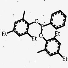 CCc1cc(C)c(OP(Oc2c(C)cc(CC)cc2CC)c2ccccc2)c(CC)c1